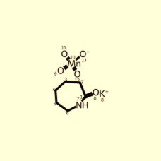 O=C1CCCCCN1.[K+].[O]=[Mn](=[O])(=[O])[O-]